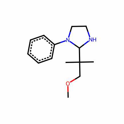 COCC(C)(C)C1NCCN1c1ccccc1